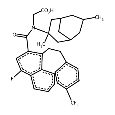 CC1CC2CC(C1)CC(C)(N(CC(=O)O)C(=O)c1cc(F)c3ccccc3c1CCc1ccc(C(F)(F)F)cc1)C2